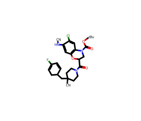 CC(C)(C)OC(=O)N1CC(C(=O)N2CCC(C#N)(CC3C=CC(F)=CC3)CC2)Oc2cc(NC#N)c(Cl)cc21